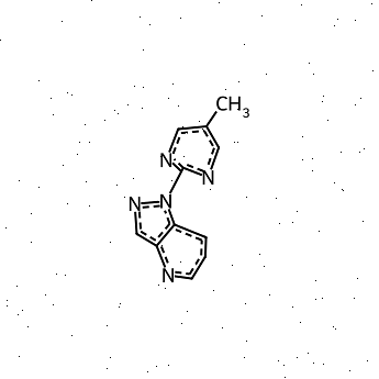 Cc1cnc(-n2ncc3ncccc32)nc1